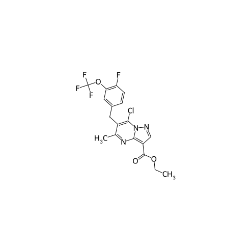 CCOC(=O)c1cnn2c(Cl)c(Cc3ccc(F)c(OC(F)(F)F)c3)c(C)nc12